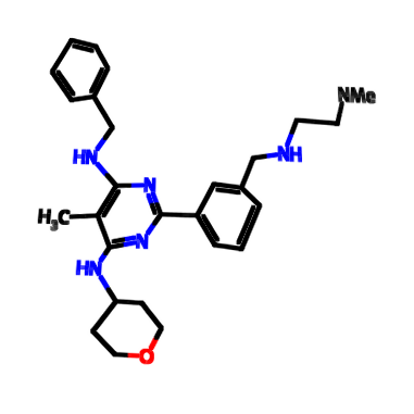 CNCCNCc1cccc(-c2nc(NCc3ccccc3)c(C)c(NC3CCOCC3)n2)c1